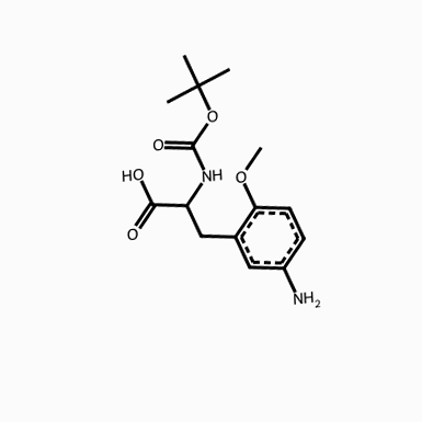 COc1ccc(N)cc1CC(NC(=O)OC(C)(C)C)C(=O)O